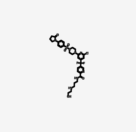 O=C(NCCCNCCO)c1ccc(C(F)(F)c2cc(Cl)nc(N3CCN(S(=O)(=O)c4ccc(N5CCCC5=O)cc4)CC3)c2)cn1